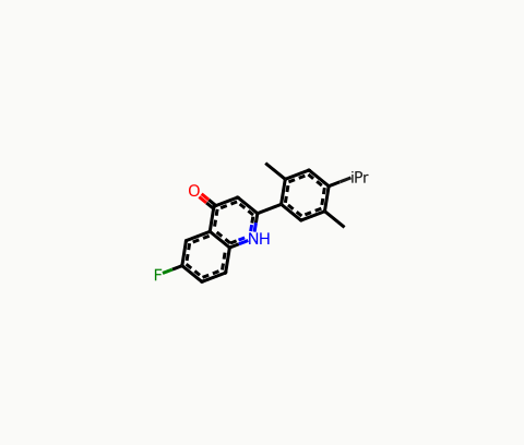 Cc1cc(C(C)C)c(C)cc1-c1cc(=O)c2cc(F)ccc2[nH]1